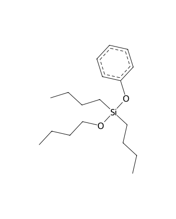 CCCCO[Si](CCCC)(CCCC)Oc1ccccc1